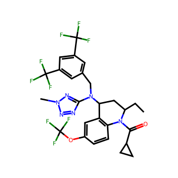 CCC1CC(N(Cc2cc(C(F)(F)F)cc(C(F)(F)F)c2)c2nnn(C)n2)c2cc(OC(F)(F)F)ccc2N1C(=O)C1CC1